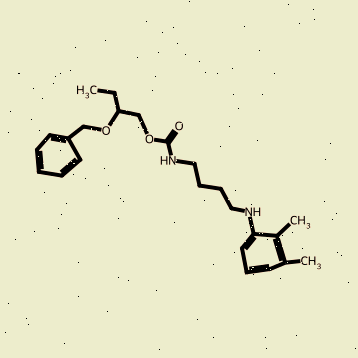 CCC(COC(=O)NCCCCNc1cccc(C)c1C)OCc1ccccc1